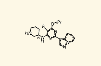 CC(C)Oc1nc(-c2cnn3ccccc23)nc(N[C@@H]2CCCNC2)c1F